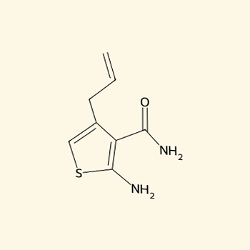 C=CCc1csc(N)c1C(N)=O